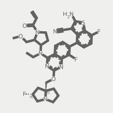 C=CC(=O)N1CCC(N(CC)c2nc(OC[C@@]34CCCN3C[C@H](F)C4)nc3c(F)c(-c4ccc(F)c5sc(N)c(C#N)c45)ccc23)C1COC